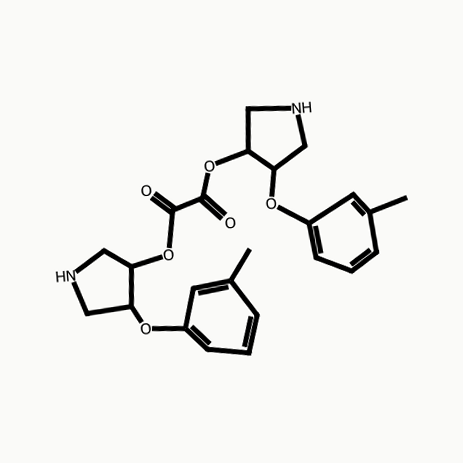 Cc1cccc(OC2CNCC2OC(=O)C(=O)OC2CNCC2Oc2cccc(C)c2)c1